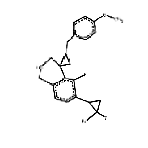 COc1ccc(CC2CC23CNCc2ccc(C4CC4(F)Br)c(F)c23)cc1